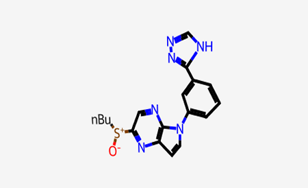 CCCC[S+]([O-])c1cnc2c(ccn2-c2cccc(-c3nnc[nH]3)c2)n1